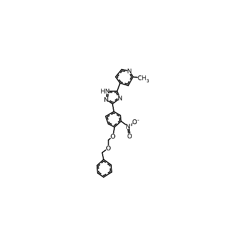 Cc1cc(-c2nc(-c3ccc(OCOCc4ccccc4)c([N+](=O)[O-])c3)n[nH]2)ccn1